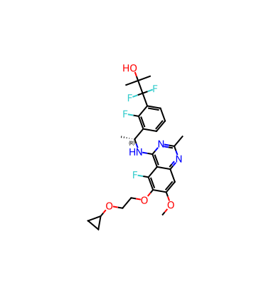 COc1cc2nc(C)nc(N[C@H](C)c3cccc(C(F)(F)C(C)(C)O)c3F)c2c(F)c1OCCOC1CC1